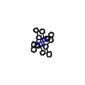 c1ccc(C2=NC(c3c(-c4ccccc4)cc(-c4ccccc4)cc3-c3ccccc3)(C3(c4c(-c5ccccc5)cc(-c5ccccc5)cc4-c4ccccc4)N=C(c4ccccc4)C(c4ccccc4)=N3)N=C2c2ccccc2)cc1